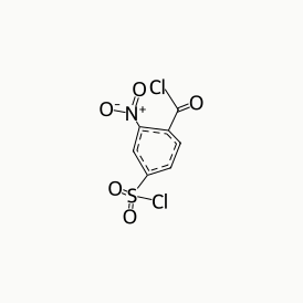 O=C(Cl)c1ccc(S(=O)(=O)Cl)cc1[N+](=O)[O-]